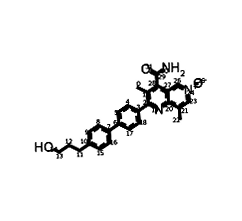 Cc1c(-c2ccc(-c3ccc(CCCO)cc3)cc2)nc2c(C)c[n+]([O-])cc2c1C(N)=O